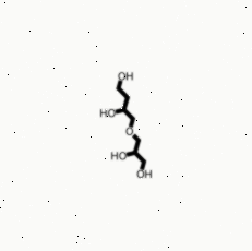 OCCC(O)COCC(O)CO